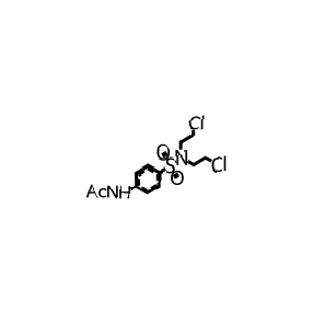 CC(=O)Nc1ccc(S(=O)(=O)N(CCCl)CCCl)cc1